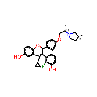 C[C@@H]1CCN([C@@H](C)COc2ccc(C3Oc4ccc(O)cc4C(C4CC4)=C3c3cccc(O)c3F)cc2)C1